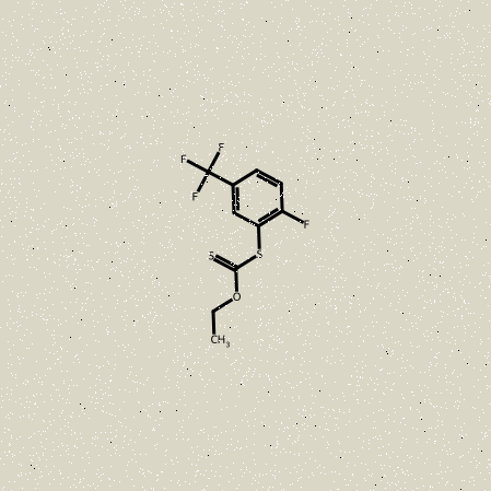 CCOC(=S)Sc1cc(C(F)(F)F)ccc1F